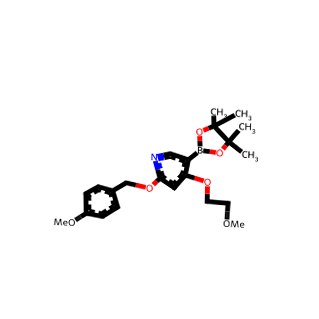 COCCOc1cc(OCc2ccc(OC)cc2)ncc1B1OC(C)(C)C(C)(C)O1